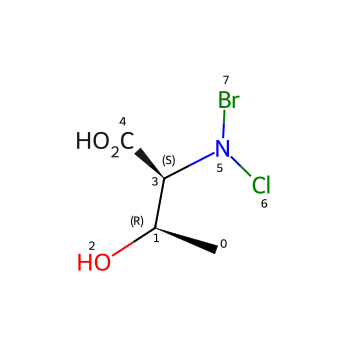 C[C@@H](O)[C@@H](C(=O)O)N(Cl)Br